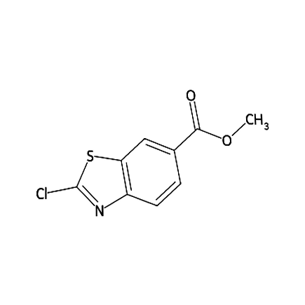 COC(=O)c1ccc2nc(Cl)sc2c1